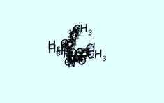 Cc1cc(S(=O)(=O)Cc2noc(CC(=O)NC3CCC(N4CCN(C)CC4)CC3(C)C)n2)c(C)cc1Cl